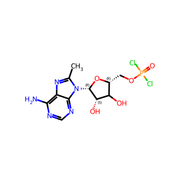 Cc1nc2c(N)ncnc2n1[C@@H]1O[C@H](COP(=O)(Cl)Cl)C(O)[C@@H]1O